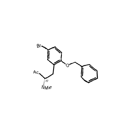 CN[C@@H](Cc1cc(Br)ccc1OCc1ccccc1)C(C)=O